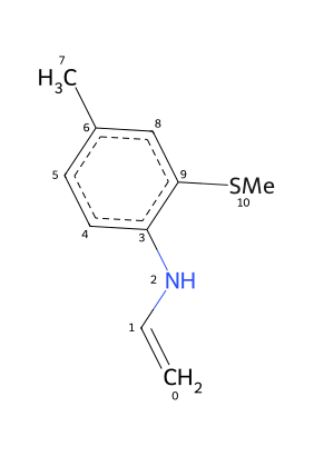 C=CNc1ccc(C)cc1SC